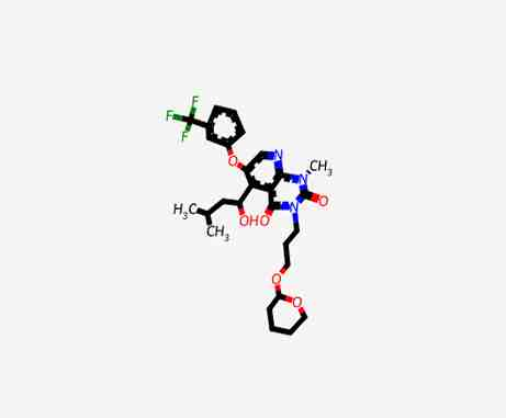 CC(C)CC(O)c1c(Oc2cccc(C(F)(F)F)c2)cnc2c1c(=O)n(CCCOC1CCCCO1)c(=O)n2C